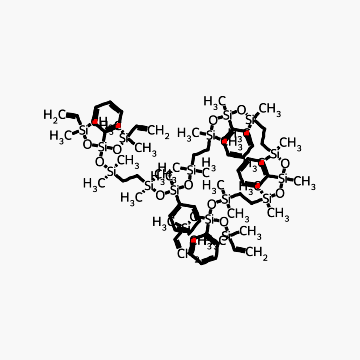 C=C[Si](C)(C)O[Si](O[Si](C)(C)C=C)(O[Si](C)(C)CC[Si](C)(C)O[Si](C)(O[Si](C)(C)CC[Si](C)(C)O[Si](C)(O[Si](C)(C)CC[Si](C)(C)O[Si](C)(O[Si](C)(C)CC[Si](C)(C)O[Si](O[Si](C)(C)C=C)(O[Si](C)(C)C=C)c1ccccc1)c1ccccc1)c1ccccc1)c1ccccc1)c1ccccc1